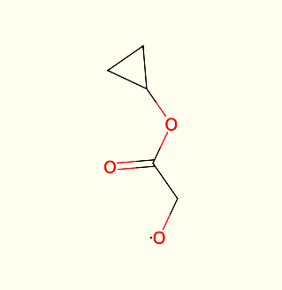 [O]CC(=O)OC1CC1